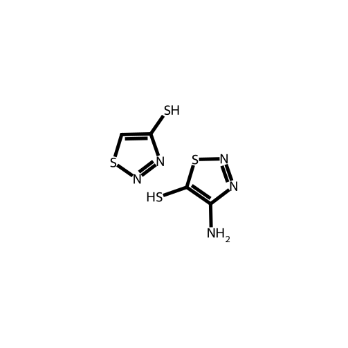 Nc1nnsc1S.Sc1csnn1